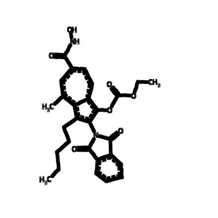 CCCCCc1c2c(C)cc(C(=O)NO)ccc-2c(OC(=O)OCC)c1N1C(=O)c2ccccc2C1=O